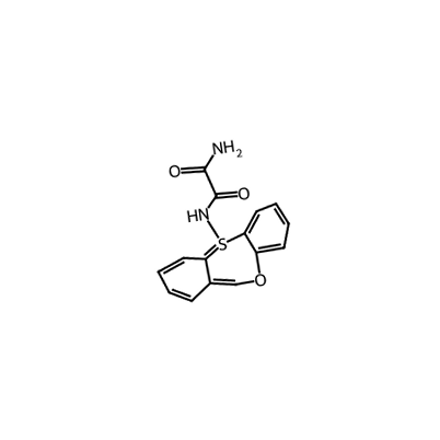 NC(=O)C(=O)NS1=c2ccccc2=COc2ccccc21